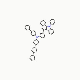 c1ccc(-c2ccc(-c3ccc(N(c4ccc(-c5ccccc5)cc4)c4cccc(-c5cc6ccccc6c6c5c5ccccc5n6-c5ccccc5)c4)cc3)cc2)cc1